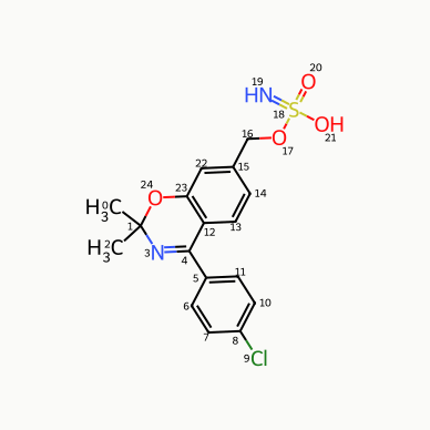 CC1(C)N=C(c2ccc(Cl)cc2)c2ccc(COS(=N)(=O)O)cc2O1